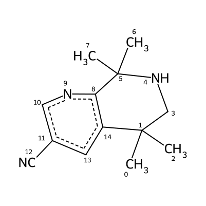 CC1(C)CNC(C)(C)c2ncc(C#N)cc21